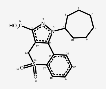 O=C(O)c1nn(C2CCCCCC2)c2c1CS(=O)(=O)c1ccccc1-2